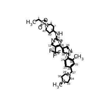 CCS(=O)(=O)N1CCC(Nc2ncc(C(F)(F)F)c(-c3cnn(-c4ccc(CN5CCN(C)CC5)cc4C)c3)n2)CC1